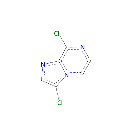 Clc1nccn2c(Cl)cnc12